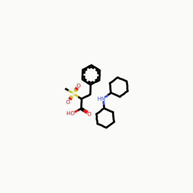 C1CCC(NC2CCCCC2)CC1.CS(=O)(=O)C(Cc1ccccc1)C(=O)O